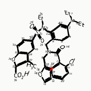 CCN(CC)c1ccc(CN(Cc2ccco2)C(=O)c2ccccc2Cl)c(N(CC)S(=O)(=O)c2ccc3oc(C(=O)O)c(C)c3c2)c1